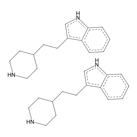 c1ccc2c(CCC3CCNCC3)c[nH]c2c1.c1ccc2c(CCC3CCNCC3)c[nH]c2c1